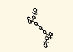 CC1(C)c2ccccc2N(c2ccc(-c3ccc(-c4ccc(N(c5ccc(-c6nc7ccccc7o6)cc5)c5cccc6ccccc56)cc4)cc3)cc2)c2ccc(-c3nc4ccccc4o3)cc21